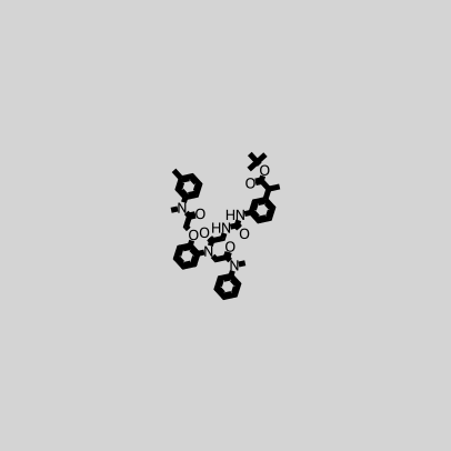 Cc1cccc(N(C)C(=O)COc2ccccc2N(CC(=O)N(C)c2ccccc2)C(=O)CNC(=O)Nc2cccc(C(C)C(=O)OC(C)(C)C)c2)c1